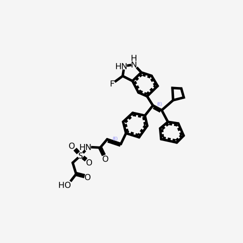 O=C(O)CS(=O)(=O)NC(=O)/C=C/c1ccc(/C(=C(\c2ccccc2)C2CCC2)c2ccc3c(c2)C(F)NN3)cc1